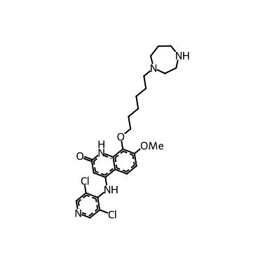 COc1ccc2c(Nc3c(Cl)cncc3Cl)cc(=O)[nH]c2c1OCCCCCCN1CCCNCC1